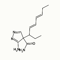 CC/C=C/C=CC(CC)C1(C(N)=O)C=NN=C1N